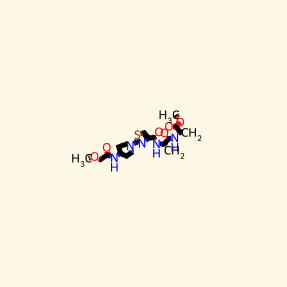 C=C(NC(=O)c1csc(N2CCC(NC(=O)COC)CC2)n1)C(=O)NC(=C)C(=O)OC